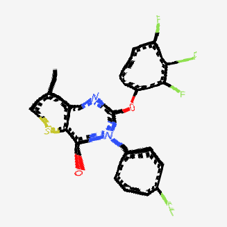 Cc1csc2c(=O)n(-c3ccc(F)cc3)c(Oc3ccc(F)c(F)c3F)nc12